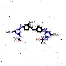 COc1nc(Nc2ccc(C=Cc3ccc(Nc4nc(NC(C)(C)O)nc(OC)n4)cc3S(=O)(=O)O)c(S(=O)(=O)O)c2)nc(NC(C)(C)O)n1